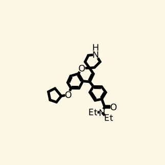 CCN(CC)C(=O)c1ccc(C2=CC3(CCNCC3)Oc3ccc(OC4CCCC4)cc32)cc1